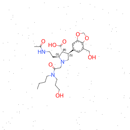 CCCCN(CCCO)C(=O)CN1C[C@H](c2cc(CO)c3c(c2)OCO3)[C@@H](C(=O)O)[C@@H]1CCNC(C)=O